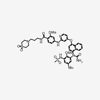 COc1cc(Nc2cc(Oc3ccc(N(C(N)=O)c4cc(C(C)(C)C)cc(NS(C)(=O)=O)c4OC)c4ccccc34)ccn2)ccc1C(=O)NCCCN1CCS(=O)(=O)CC1